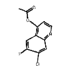 CC(=O)Oc1ccnc2cc(Cl)c(F)cc12